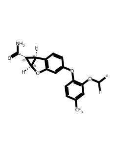 NC(=O)[C@H]1[C@@H]2Oc3cc(Oc4ccc(C(F)(F)F)cc4OC(F)F)ccc3[C@@H]21